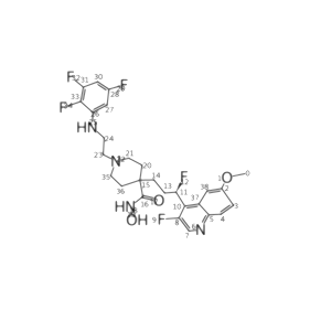 COc1ccc2ncc(F)c([C@H](F)CCC3(C(=O)NO)CCN(CCNc4cc(F)cc(F)c4F)CC3)c2c1